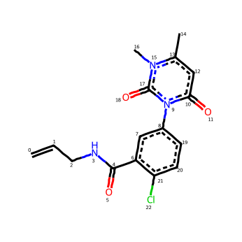 C=CCNC(=O)c1cc(-n2c(=O)cc(C)n(C)c2=O)ccc1Cl